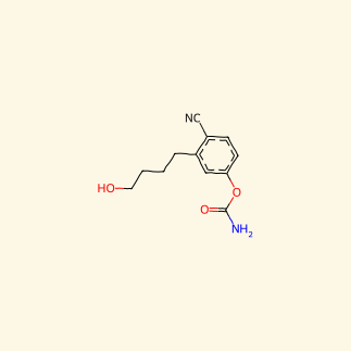 N#Cc1ccc(OC(N)=O)cc1CCCCO